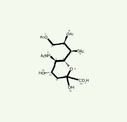 CC(=O)N[C@H]1[C@H]([C@H](OC(C)=O)[C@@H](COC(C)=O)OC(C)=O)OC(O)(C(=O)O)C[C@@H]1O